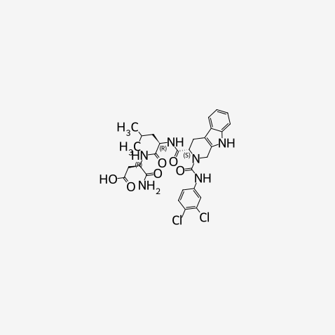 CC(C)C[C@@H](NC(=O)[C@@H]1Cc2c([nH]c3ccccc23)CN1C(=O)Nc1ccc(Cl)c(Cl)c1)C(=O)N[C@H](CC(=O)O)C(N)=O